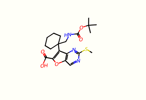 CSc1ncc2oc(C(=O)O)c(C3(CNC(=O)OC(C)(C)C)CCCCC3)c2n1